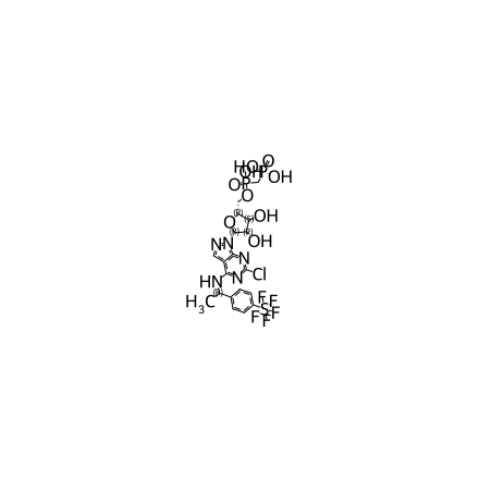 C[C@@H](Nc1nc(Cl)nc2c1cnn2[C@@H]1O[C@H](COP(=O)(O)CP(=O)(O)O)[C@@H](O)[C@H]1O)c1ccc(S(F)(F)(F)(F)F)cc1